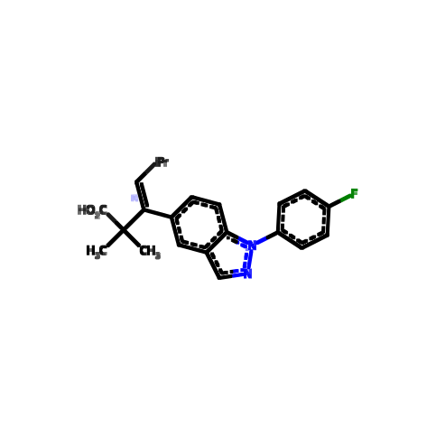 CC(C)/C=C(\c1ccc2c(cnn2-c2ccc(F)cc2)c1)C(C)(C)C(=O)O